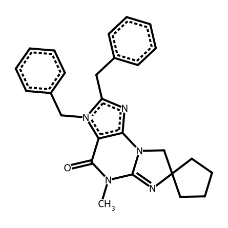 CN1C(=O)c2c(nc(Cc3ccccc3)n2Cc2ccccc2)N2CC3(CCCC3)N=C12